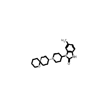 Cc1ccc2[nH]c(=O)n(C3CCN([C@H]4CC[C@@]5(CCCCO5)CC4)CC3)c2c1